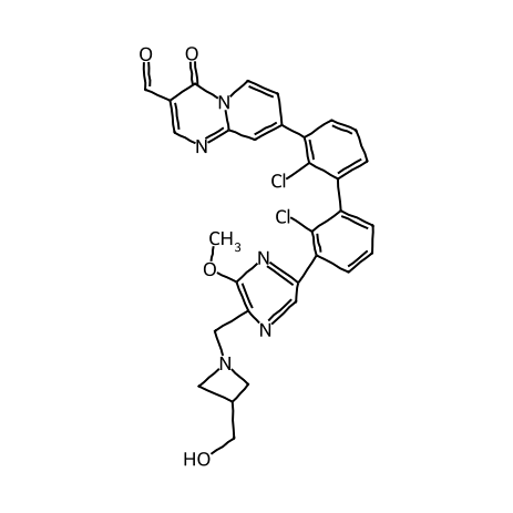 COc1nc(-c2cccc(-c3cccc(-c4ccn5c(=O)c(C=O)cnc5c4)c3Cl)c2Cl)cnc1CN1CC(CO)C1